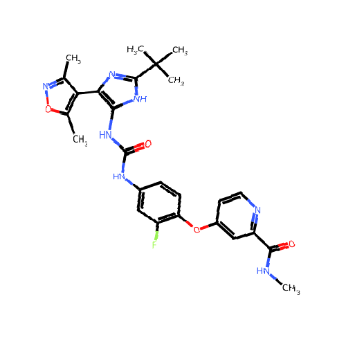 CNC(=O)c1cc(Oc2ccc(NC(=O)Nc3[nH]c(C(C)(C)C)nc3-c3c(C)noc3C)cc2F)ccn1